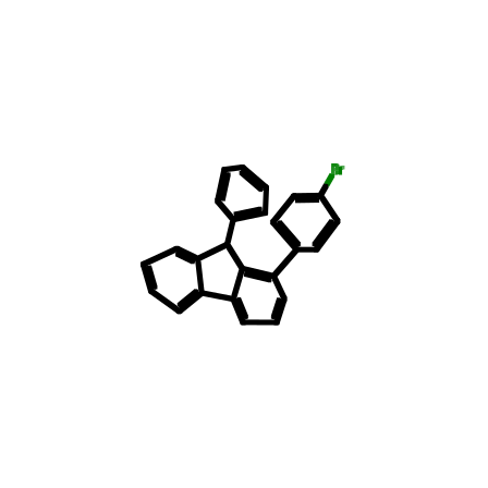 Brc1ccc(-c2cccc3c2C(c2ccccc2)c2ccccc2-3)cc1